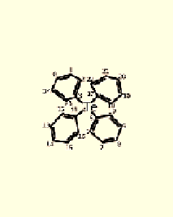 c1ccc([Te](c2ccccc2)(c2ccccc2)c2ccccc2)cc1